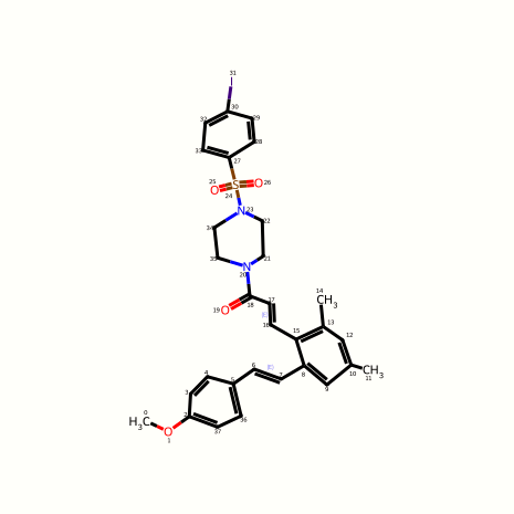 COc1ccc(/C=C/c2cc(C)cc(C)c2/C=C/C(=O)N2CCN(S(=O)(=O)c3ccc(I)cc3)CC2)cc1